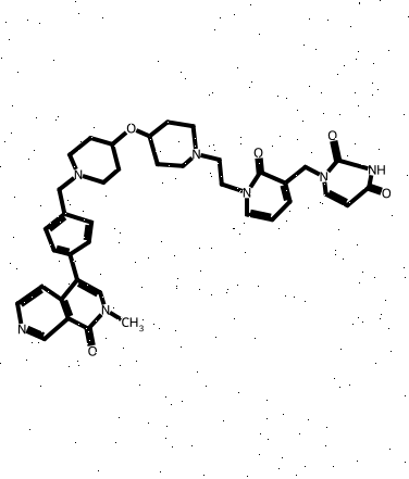 Cn1cc(-c2ccc(CN3CCC(OC4CCN(CCn5cccc(Cn6ccc(=O)[nH]c6=O)c5=O)CC4)CC3)cc2)c2ccncc2c1=O